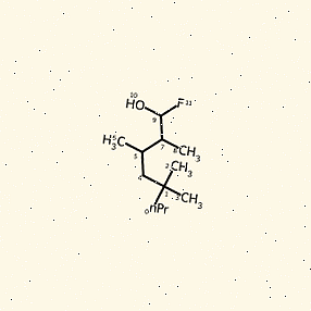 CCCC(C)(C)CC(C)C(C)C(O)F